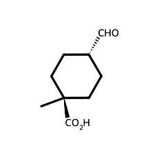 C[C@]1(C(=O)O)CC[C@H](C=O)CC1